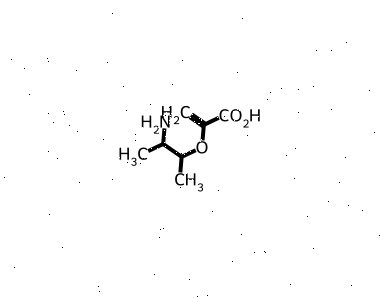 C=C(OC(C)C(C)N)C(=O)O